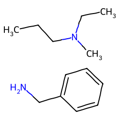 CCCN(C)CC.NCc1ccccc1